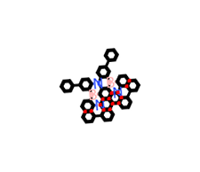 c1ccc(-c2ccc3c(c2)B2c4ccccc4N(c4c(-c5ccccc5)cccc4-c4ccccc4)c4cc5c6c(c42)N3c2ccc(-c3ccccc3)cc2B6c2ccccc2N5c2c(-c3ccccc3)cccc2-c2ccccc2)cc1